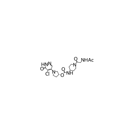 CC(=O)NCC(=O)N1CCC(NC(=O)O[C@@H]2CCN(c3cn[nH]c(=O)c3Cl)C2)CC1